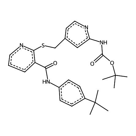 CC(C)(C)OC(=O)Nc1cc(CSc2ncccc2C(=O)Nc2ccc(C(C)(C)C)cc2)ccn1